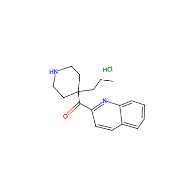 CCCC1(C(=O)c2ccc3ccccc3n2)CCNCC1.Cl